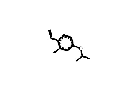 C=Cc1ccc(OC(C)C)cc1C